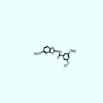 CCOc1cc(OCC)cc(C(=O)Nc2nc3ccc(OC)cc3s2)c1